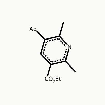 CCOC(=O)c1cc(C(C)=O)c(C)nc1C